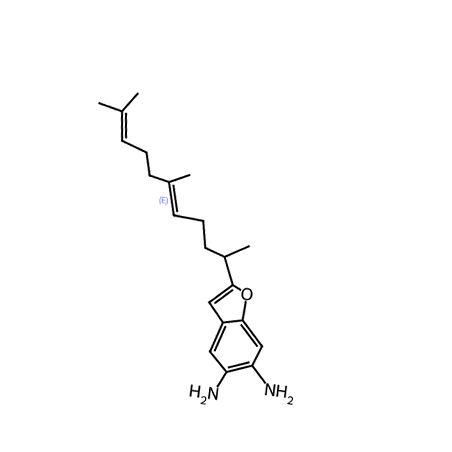 CC(C)=CCC/C(C)=C/CCC(C)c1cc2cc(N)c(N)cc2o1